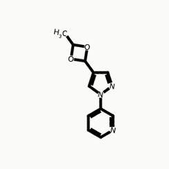 CC1OC(c2cnn(-c3cccnc3)c2)O1